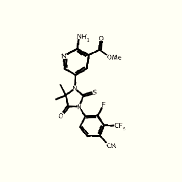 COC(=O)c1cc(N2C(=S)N(c3ccc(C#N)c(C(F)(F)F)c3F)C(=O)C2(C)C)cnc1N